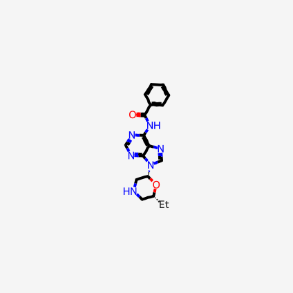 CC[C@@H]1CNC[C@H](n2cnc3c(NC(=O)c4ccccc4)ncnc32)O1